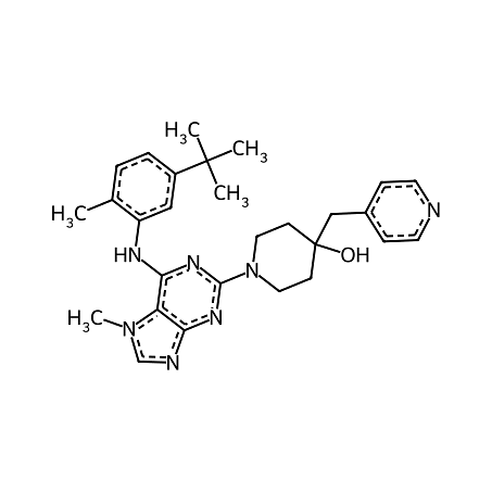 Cc1ccc(C(C)(C)C)cc1Nc1nc(N2CCC(O)(Cc3ccncc3)CC2)nc2ncn(C)c12